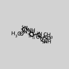 COc1ccnc(Nc2cccc(-c3cnc(N4CCNC(=O)C4C)o3)c2)n1